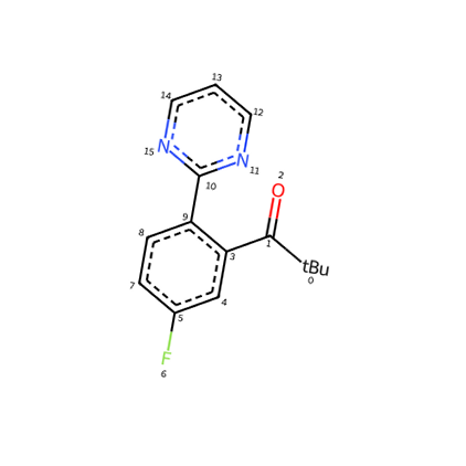 CC(C)(C)C(=O)c1cc(F)ccc1-c1ncccn1